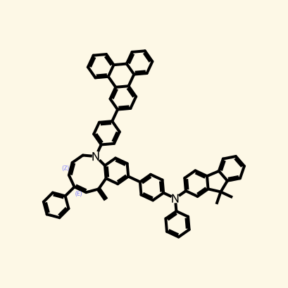 C=C1/C=C(c2ccccc2)\C=C/CN(c2ccc(-c3ccc4c5ccccc5c5ccccc5c4c3)cc2)c2ccc(-c3ccc(N(c4ccccc4)c4ccc5c(c4)C(C)(C)c4ccccc4-5)cc3)cc21